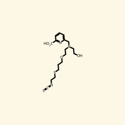 O=C(O)c1cccc(CN(CCO)CCOCCCSCCN=C=S)n1